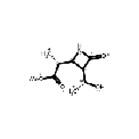 COC(=O)[C@H](C)C1NC(=O)C1[C@@H](C)O